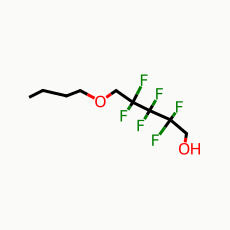 CCCCOCC(F)(F)C(F)(F)C(F)(F)CO